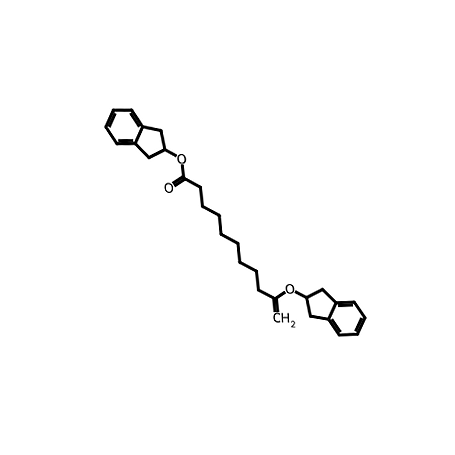 C=C(CCCCCCCCC(=O)OC1Cc2ccccc2C1)OC1Cc2ccccc2C1